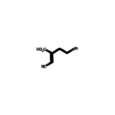 CC(C)CCC(=CC#N)C(=O)O